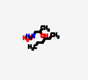 CC(O)CN.CCCCCC.O